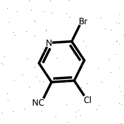 N#Cc1cnc(Br)cc1Cl